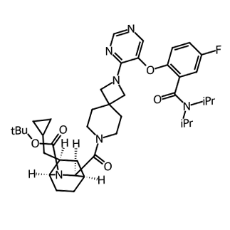 CC(C)N(C(=O)c1cc(F)ccc1Oc1cncnc1N1CC2(CCN(C(=O)[C@H]3[C@@H]4CC[C@@H]([C@@H](CC5CC5)C4)N3C(=O)OC(C)(C)C)CC2)C1)C(C)C